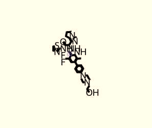 CC1=C(c2ccc(N3CCN(CCO)CC3)cc2)C=C(C(F)F)/C(=C/NC(C(=O)Nc2nccs2)c2ncn3c2CCC3)C1=N